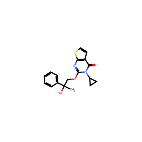 CC(O)(COc1nc2sccc2c(=O)n1C1CC1)c1ccccc1